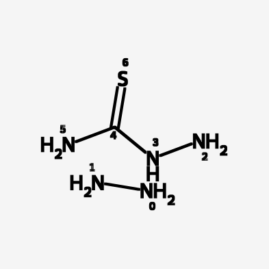 NN.NNC(N)=S